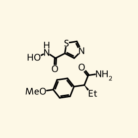 CC[C@H](C(N)=O)c1ccc(OC)cc1.O=C(NO)c1cncs1